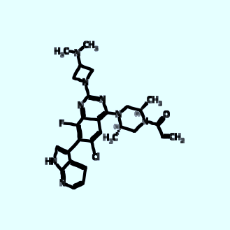 C=CC(=O)N1C[C@H](C)N(c2nc(N3CC(N(C)C)C3)nc3c(F)c(-c4c[nH]c5ncccc45)c(Cl)cc23)C[C@H]1C